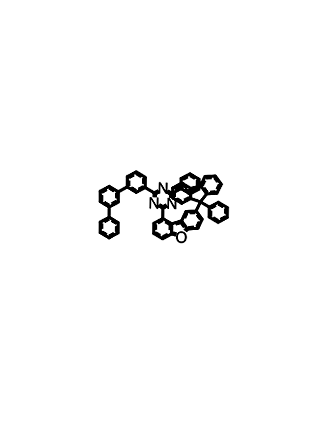 c1ccc(-c2cccc(-c3cccc(-c4nc(-c5ccccc5)nc(-c5cccc6oc7ccc(C8(c9ccccc9)c9ccccc9-c9ccccc98)cc7c56)n4)c3)c2)cc1